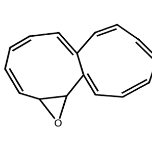 C1=CC=CC2=CC=CC=CC3OC3C2=CC=C1